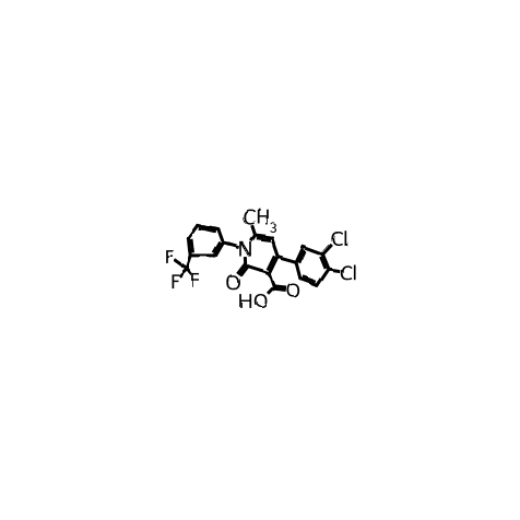 Cc1cc(-c2ccc(Cl)c(Cl)c2)c(C(=O)O)c(=O)n1-c1cccc(C(F)(F)F)c1